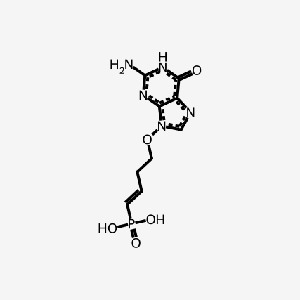 Nc1nc2c(ncn2OCCC=CP(=O)(O)O)c(=O)[nH]1